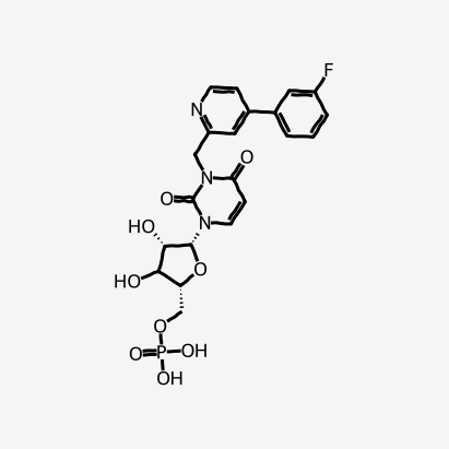 O=c1ccn([C@@H]2O[C@H](COP(=O)(O)O)C(O)[C@@H]2O)c(=O)n1Cc1cc(-c2cccc(F)c2)ccn1